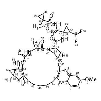 COc1ccc2nc3c(nc2c1)O[C@@H]1C[C@@H](C(=O)N[C@]2(C(=O)NS(=O)(=O)C4(C)CC4)CC2C(F)F)N(C1)C(=O)[C@H](C(C)(C)C)NC(=O)O[C@H]1[C@H](CCCCC3)C[C@H]2C[C@H]21